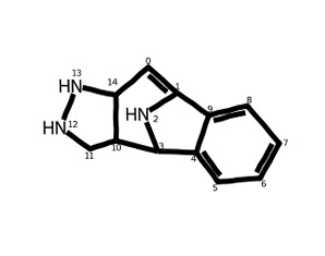 C1=C2NC(c3ccccc32)C2CNNC12